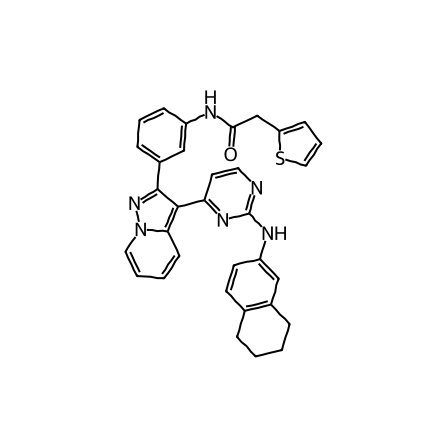 O=C(Cc1cccs1)Nc1cccc(-c2nn3ccccc3c2-c2ccnc(Nc3ccc4c(c3)CCCC4)n2)c1